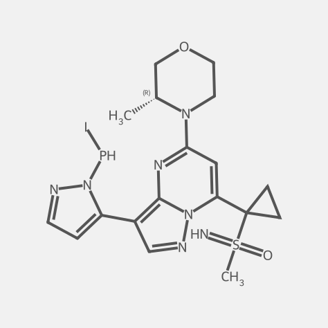 C[C@@H]1COCCN1c1cc(C2(S(C)(=N)=O)CC2)n2ncc(-c3ccnn3PI)c2n1